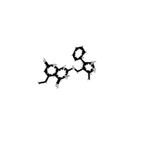 CCc1cc(=O)oc2nc(OCc3c(-c4ccccc4)noc3C)[nH]c(=O)c12